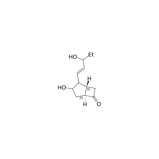 CCC(O)C=CC1C(O)C[C@@H]2C(=O)C[C@@H]12